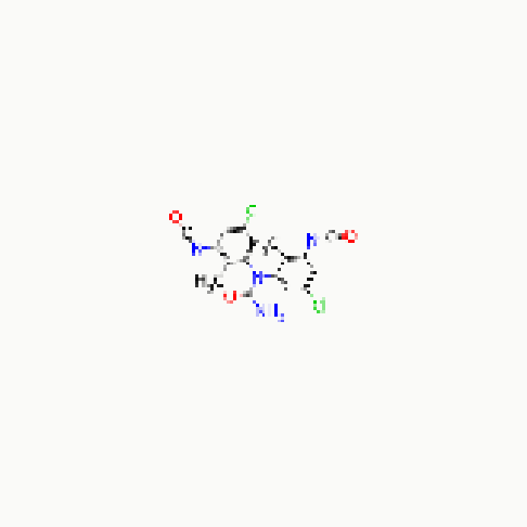 Cc1c(N=C=O)cc(Cl)cc1N(C(N)=O)c1cc(Cl)cc(N=C=O)c1C